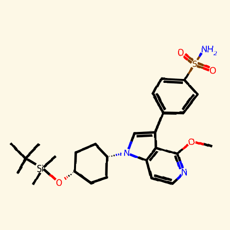 COc1nccc2c1c(-c1ccc(S(N)(=O)=O)cc1)cn2[C@H]1CC[C@@H](O[Si](C)(C)C(C)(C)C)CC1